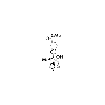 COC(=O)C1CCc2cc(C(SC)C(O)(C=S)n3ccnc3)sc2C1